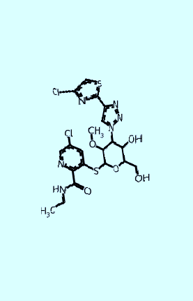 CCNC(=O)c1ncc(Cl)cc1SC1OC(CO)C(O)C(n2cc(-c3nc(Cl)cs3)nn2)C1OC